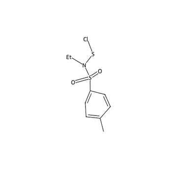 CCN(SCl)S(=O)(=O)c1ccc(C)cc1